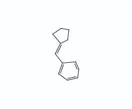 C(=C1CCCC1)c1ccccc1